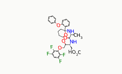 C[C@H](NC1(c2ccccc2Oc2ccccc2)CCCCO1)C(=O)N[C@@H](CC(=O)O)C(=O)COc1c(F)c(F)cc(F)c1F